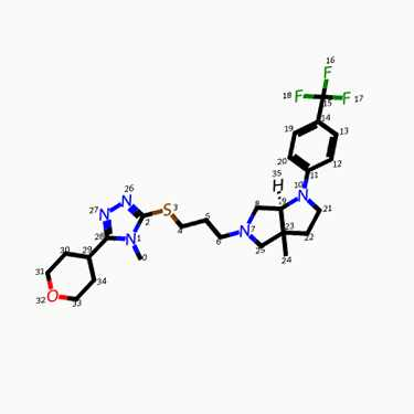 Cn1c(SCCCN2C[C@H]3N(c4ccc(C(F)(F)F)cc4)CCC3(C)C2)nnc1C1CCOCC1